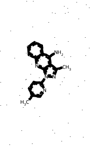 Cc1ccc(-n2nc(C)c3c(N)c4ccccc4nc32)nc1